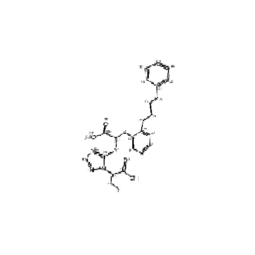 CCC(C(=O)O)n1nnnc1SC(Cc1ccccc1CCCCc1ccccc1)C(=O)O